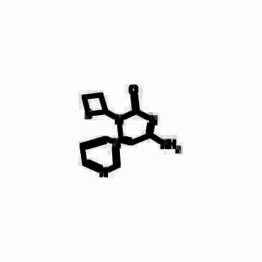 Nc1ccn(C2CCS2)c(=O)n1.c1cncnc1